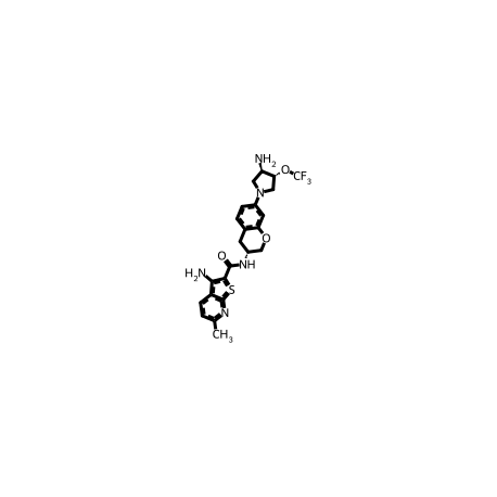 Cc1ccc2c(N)c(C(=O)N[C@H]3COc4cc(N5C[C@@H](N)[C@H](OC(F)(F)F)C5)ccc4C3)sc2n1